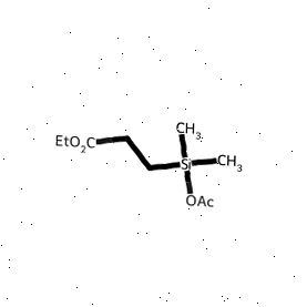 CCOC(=O)CC[Si](C)(C)OC(C)=O